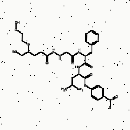 CC(C)CC(NC(=O)[C@H](Cc1ccccc1)NC(=O)CNNC(=O)CCC(CO)OCCOO)C(=O)Oc1ccc([N+](=O)[O-])cc1